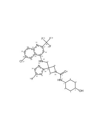 O=C(NC1CCC(O)CC1)N1CC(CNc2cc(C(F)(F)F)nc3ccc(Cl)cc23)(n2cc(F)cn2)C1